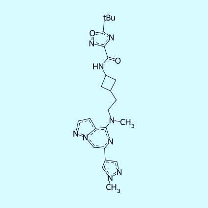 CN(CCC1CC(NC(=O)c2noc(C(C)(C)C)n2)C1)c1nc(-c2cnn(C)c2)cn2nccc12